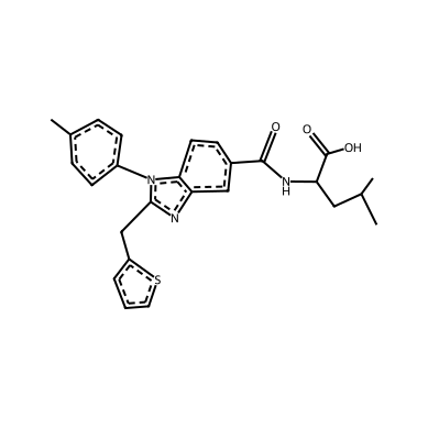 Cc1ccc(-n2c(Cc3cccs3)nc3cc(C(=O)NC(CC(C)C)C(=O)O)ccc32)cc1